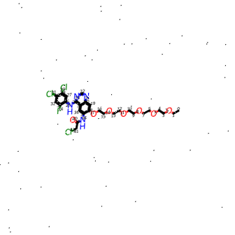 CCOCCOCCOCCOCCOCCOc1cc2ncnc(Nc3cc(Cl)c(Cl)cc3F)c2cc1NC(=O)CCl